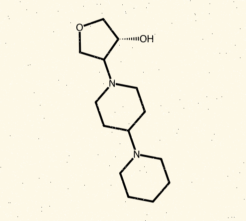 O[C@H]1COCC1N1CCC(N2CCCCC2)CC1